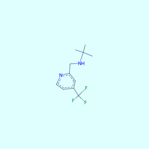 CC(C)(C)NCc1cc(C(F)(F)F)ccn1